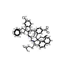 C=CCC1(Cc2cccc([N+](=O)[O-])c2)/C(=C\C=C\C2=[N+](CCC)c3ccc(Cl)cc3C2(Cc2ccccc2)Cc2ccccc2)N(CCC(C)C)c2ccc3ccccc3c21